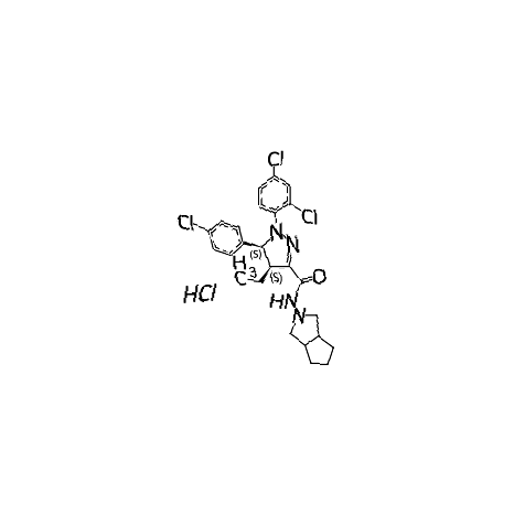 CC[C@@H]1C(C(=O)NN2CC3CCCC3C2)=NN(c2ccc(Cl)cc2Cl)[C@@H]1c1ccc(Cl)cc1.Cl